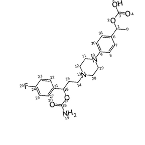 CC(OC(=O)O)c1ccc(N2CCN(CCC(OC(N)=O)c3ccc(F)cc3)CC2)cc1